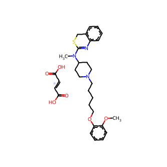 COc1ccccc1OCCCCCN1CCC(N(C)C2=Nc3ccccc3CS2)CC1.O=C(O)/C=C/C(=O)O